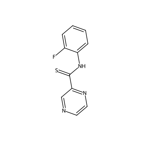 Fc1ccccc1NC(=S)c1cnccn1